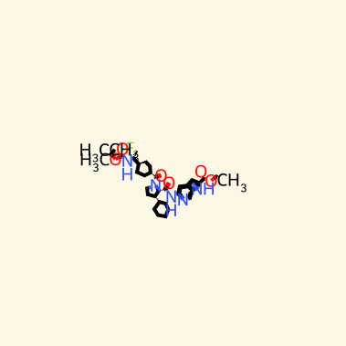 CCOC(=O)c1cc2cc(NC(=O)[C@@H]3[C@H](C4CCCCC4)CCN3C(=O)[C@H]3CC[C@H]([C@@H](CF)NC(=O)OC(C)(C)C)CC3)ncc2[nH]1